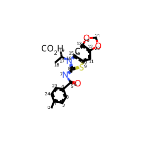 Cc1ccc(C(=O)N=c2sc3cc4c(cc3n2C(C)C(=O)O)OCO4)cc1